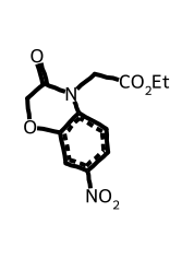 CCOC(=O)CN1C(=O)COc2cc([N+](=O)[O-])ccc21